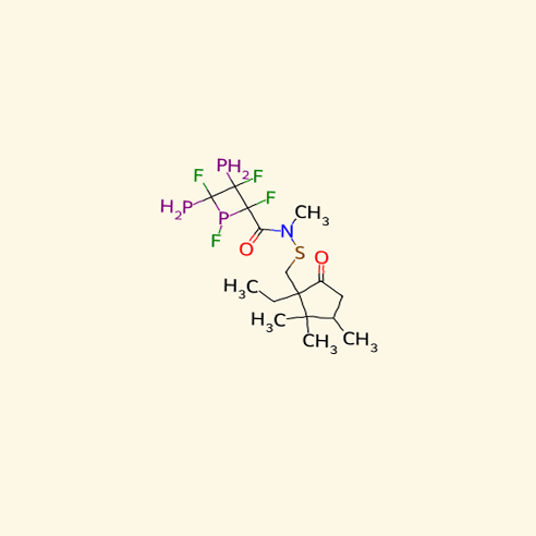 CCC1(CSN(C)C(=O)C2(F)P(F)C(F)(P)C2(F)P)C(=O)CC(C)C1(C)C